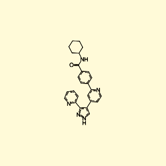 O=C(NC1CCCCC1)c1ccc(-c2cc(-c3c[nH]nc3-c3ccccn3)ccn2)cc1